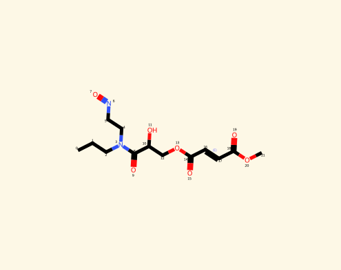 CCCN(CCN=O)C(=O)C(O)COC(=O)/C=C/C(=O)OC